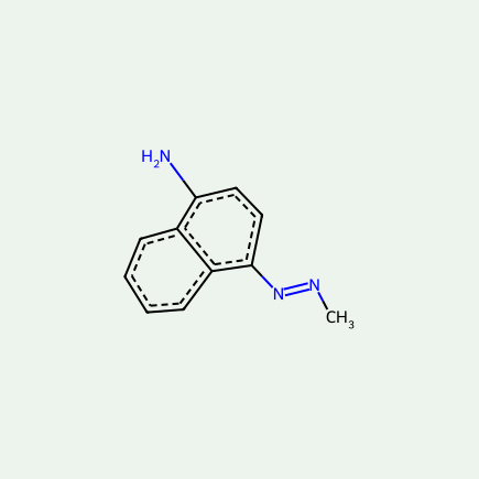 CN=Nc1ccc(N)c2ccccc12